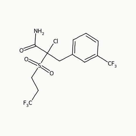 NC(=O)C(Cl)(Cc1cccc(C(F)(F)F)c1)S(=O)(=O)CCC(F)(F)F